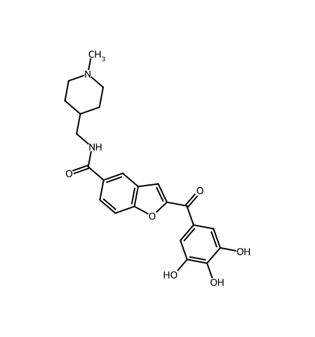 CN1CCC(CNC(=O)c2ccc3oc(C(=O)c4cc(O)c(O)c(O)c4)cc3c2)CC1